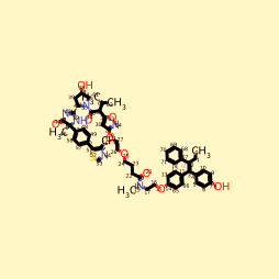 CC/C(=C(\c1ccc(O)cc1)c1ccc(OCCN(C)C(=O)CCCOCCOc2cc(C(C(=O)N3C[C@H](O)C[C@H]3C3=NC(=O)[C@](C)(c4ccc(-c5scnc5C)cc4)N3)C(C)C)on2)cc1)c1ccccc1